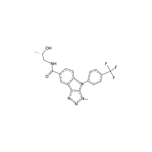 C[C@H](O)CNC(=O)c1ccc2c(c1)c1nnn(C)c1n2-c1ccc(C(F)(F)F)cc1